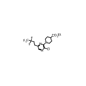 CCOC(=O)C1CCN(c2nc(CCC(F)(F)C(F)(F)F)cnc2Cl)CC1